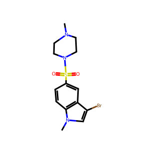 CN1CCN(S(=O)(=O)c2ccc3c(c2)c(Br)cn3C)CC1